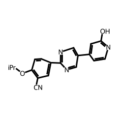 CC(C)Oc1ccc(-c2ncc(-c3ccnc(O)c3)cn2)cc1C#N